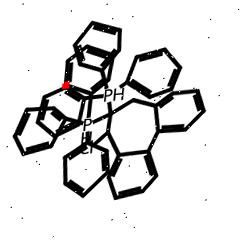 ClC1c2ccccc2-c2ccccc2CC1([PH](c1ccccc1)(c1ccccc1)c1ccccc1)[PH](c1ccccc1)(c1ccccc1)c1ccccc1